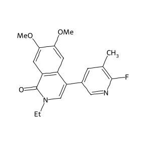 CCn1cc(-c2cnc(F)c(C)c2)c2cc(OC)c(OC)cc2c1=O